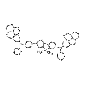 CC1(C)c2cc(-c3ccc(N(c4ccccc4)c4cc5ccc6cccc7ccc(c4)c5c67)cc3)ccc2-c2ccc(N(c3ccccc3)c3cc4ccc5cccc6ccc(c3)c4c56)cc21